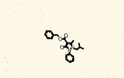 Cc1c(C(=O)OCc2ccccc2)c(=O)n(-c2ccccc2)n1CC(C)C